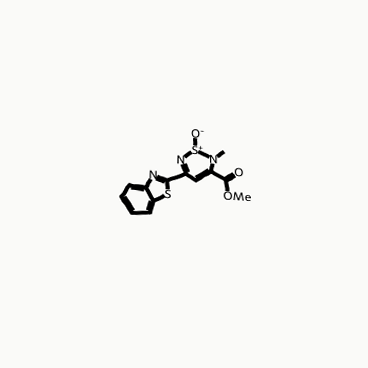 COC(=O)C1=CC(c2nc3ccccc3s2)=N[S+]([O-])N1C